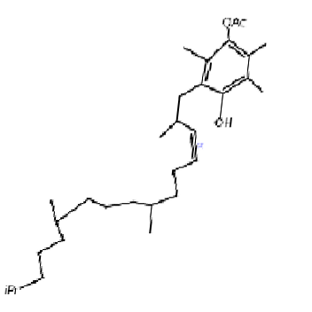 CC(=O)Oc1c(C)c(C)c(O)c(CC(C)/C=C\CCC(C)CCCC(C)CCCC(C)C)c1C